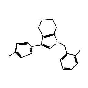 Fc1ccccc1Cn1cc(-c2ccc(Cl)cc2)c2c1CCNC2